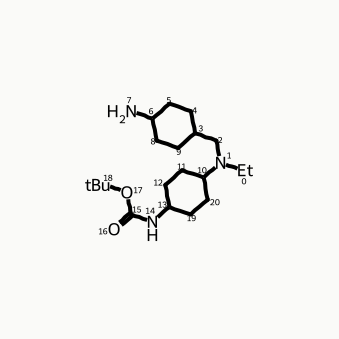 CCN(CC1CCC(N)CC1)C1CCC(NC(=O)OC(C)(C)C)CC1